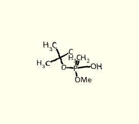 C=P(O)(OC)OC(C)(C)C